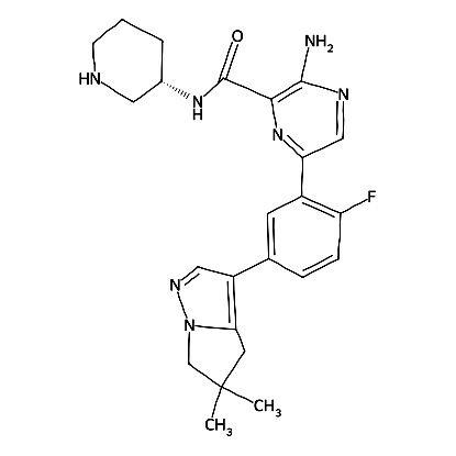 CC1(C)Cc2c(-c3ccc(F)c(-c4cnc(N)c(C(=O)N[C@H]5CCCNC5)n4)c3)cnn2C1